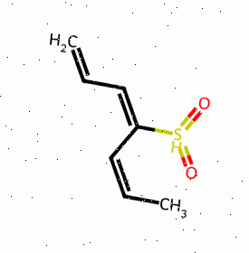 C=C/C=C(\C=C/C)[SH](=O)=O